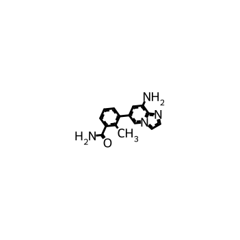 Cc1c(C(N)=O)cccc1-c1cc(N)c2nccn2c1